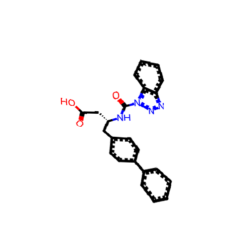 O=C(O)C[C@@H](Cc1ccc(-c2ccccc2)cc1)NC(=O)n1nnc2ccccc21